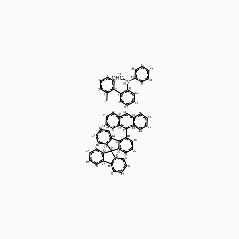 Cc1ccccc1-c1cc(-c2c3ccccc3c(-c3cccc4c3-c3ccccc3C43c4ccccc4-c4ccccc43)c3ccccc23)ccc1N(C=O)c1ccccc1